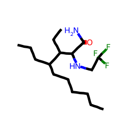 CCCCCCC(CCC)C(CC)C(NCC(F)(F)F)C(N)=O